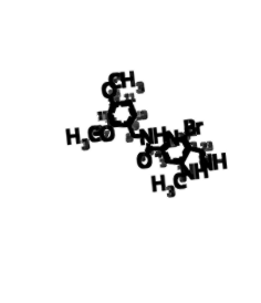 CNc1cc(C(=O)NCc2ccc(OC)cc2OC)nc(Br)c1C=N